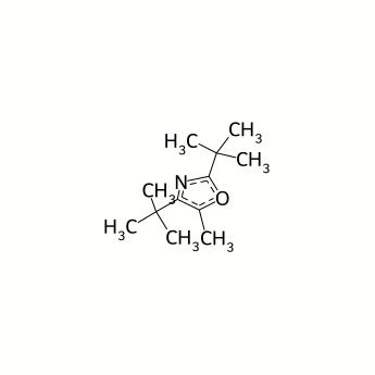 Cc1oc(C(C)(C)C)nc1C(C)(C)C